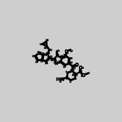 COC(=O)[C@H]1CCC(N)CN1C(=O)c1cc(OC)c2c(c1)nc(-c1cc3ccsc3n1CC1CC1)n2C